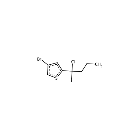 CCCC(Cl)(I)c1cc(Br)cs1